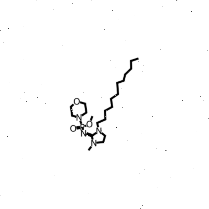 CCCCCCCCCCCCN1CCN(C)/C1=N/P(=O)(OC)N1CCOCC1